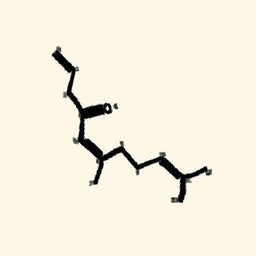 C=CCC(=O)C=C(C)CCC=C(C)C